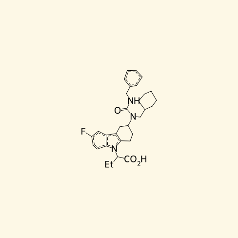 CCC(C(=O)O)n1c2c(c3cc(F)ccc31)CC(N(CC1CCCCC1)C(=O)NCc1ccccc1)CC2